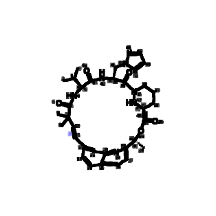 CC(C)[C@@H]1NC(=O)C(C)(C)/C=C/c2ccc3ccc(nc3c2)[C@@H](C)OC(=O)[C@@H]2CCCN(N2)C(=O)[C@H](Cn2cccn2)NC1=O